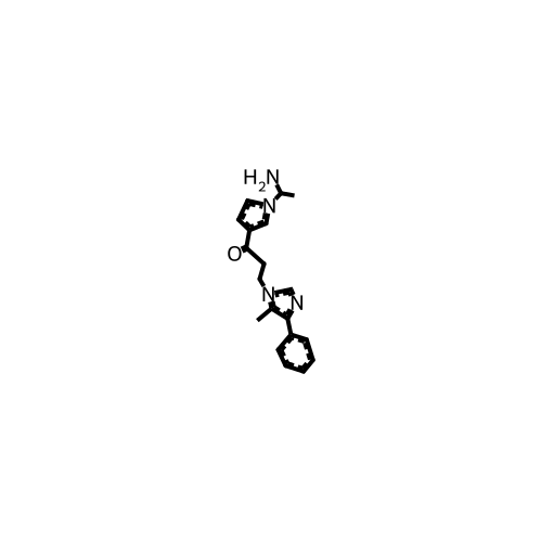 Cc1c(-c2ccccc2)ncn1CCC(=O)c1ccn(C(C)N)c1